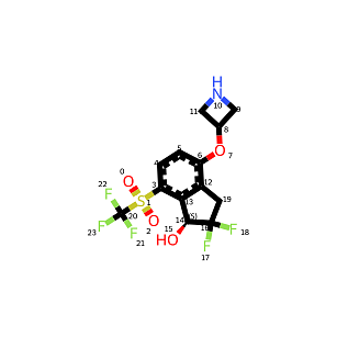 O=S(=O)(c1ccc(OC2CNC2)c2c1[C@H](O)C(F)(F)C2)C(F)(F)F